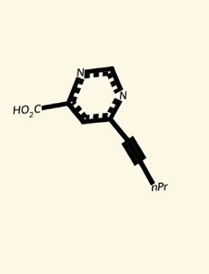 CCCC#Cc1cc(C(=O)O)ncn1